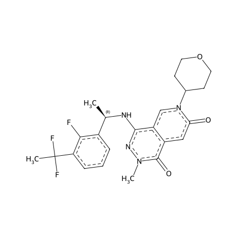 C[C@@H](Nc1nn(C)c(=O)c2cc(=O)n(C3CCOCC3)cc12)c1cccc(C(C)(F)F)c1F